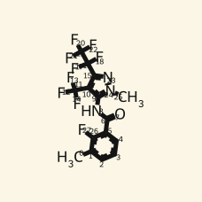 Cc1cccc(C(=O)Nc2c(C(F)(F)F)c(C(F)(F)C(F)(F)F)nn2C)c1F